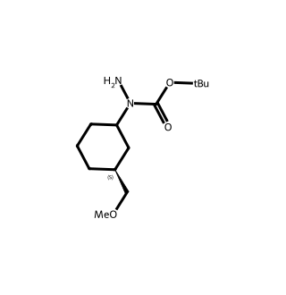 COC[C@H]1CCCC(N(N)C(=O)OC(C)(C)C)C1